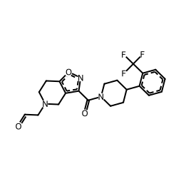 O=CCN1CCc2onc(C(=O)N3CCC(c4ccccc4C(F)(F)F)CC3)c2C1